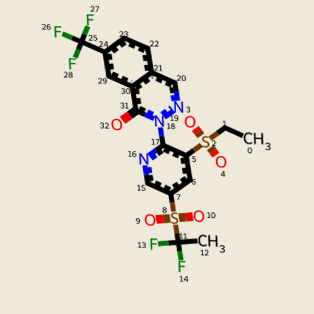 CCS(=O)(=O)c1cc(S(=O)(=O)C(C)(F)F)cnc1-n1ncc2ccc(C(F)(F)F)cc2c1=O